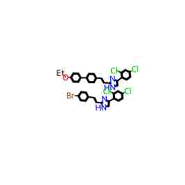 CCOc1ccc(-c2ccc(C=Cc3nc(-c4ccc(Cl)cc4Cl)c[nH]3)cc2)cc1.Clc1ccc(-c2c[nH]c(C=Cc3ccc(Br)cc3)n2)c(Cl)c1